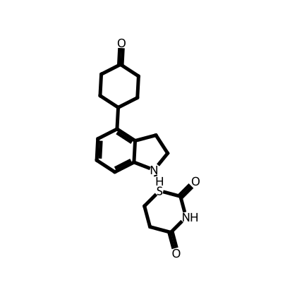 O=C1CCC(c2cccc3c2CCN3[SH]2CCC(=O)NC2=O)CC1